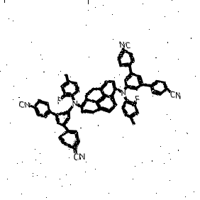 [C-]#[N+]c1ccc(-c2cc(-c3ccc(C#N)cc3)cc(N(c3ccc(C)cc3F)c3ccc4ccc5c(N(c6cc(-c7ccc(C#N)cc7)cc(-c7ccc([N+]#[C-])cc7)c6)c6ccc(C)cc6F)ccc6ccc3c4c65)c2)cc1